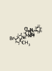 Cc1ccc(Br)c2ccn(Cc3cc(=O)n4nc(-c5ccccc5)nc4[nH]3)c12